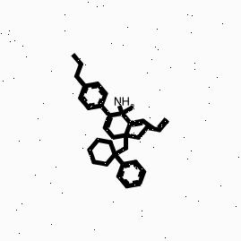 C=CCCC1(CC2(c3ccccc3)CCCCC2)CC=C(c2ccc(CCC)cc2)C(C)(N)/C1=C/C